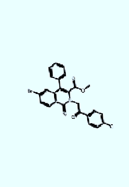 COC(=O)c1c(-c2ccccc2)c2cc(Br)ccc2c(=O)n1CC(=O)c1ccc(Cl)cc1